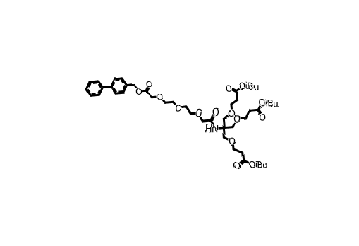 CC(C)COC(=O)CCOCC(COCCC(=O)OCC(C)C)(COCCC(=O)OCC(C)C)NC(=O)COCCOCCOCC(=O)OCc1ccc(-c2ccccc2)cc1